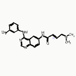 CN(C)C/C=C/C(=O)Nc1ccc2ncnc(Nc3cccc([124I])c3)c2c1